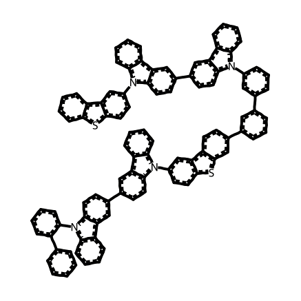 c1ccc(-c2ccccc2-n2c3ccccc3c3cc(-c4ccc5c(c4)c4ccccc4n5-c4ccc5sc6cc(-c7cccc(-c8cccc(-n9c%10ccccc%10c%10cc(-c%11ccc%12c(c%11)c%11ccccc%11n%12-c%11ccc%12sc%13ccccc%13c%12c%11)ccc%109)c8)c7)ccc6c5c4)ccc32)cc1